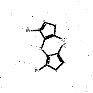 CCC1=[C]([Zr][C]2=C(CC)CC=C2C(C)C)C(C(C)C)=CC1